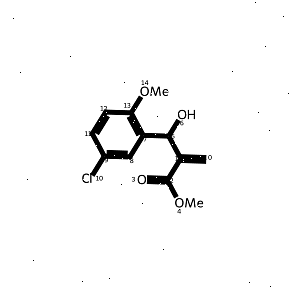 C=C(C(=O)OC)C(O)c1cc(Cl)ccc1OC